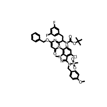 COc1ccc(CN(c2nn(C)c3c(-n4c(C(Cc5cc(F)cc(F)c5)NC(=O)OC(C)(C)C)nc(OCc5ccccc5)cc4=O)ccc(Cl)c23)S(C)(=O)=O)cc1